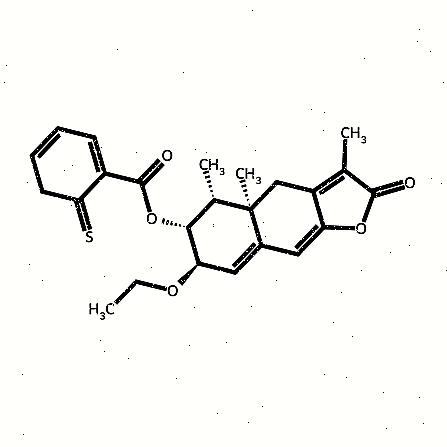 CCO[C@@H]1C=C2C=C3OC(=O)C(C)=C3C[C@]2(C)[C@@H](C)[C@H]1OC(=O)C1=CC=CCC1=S